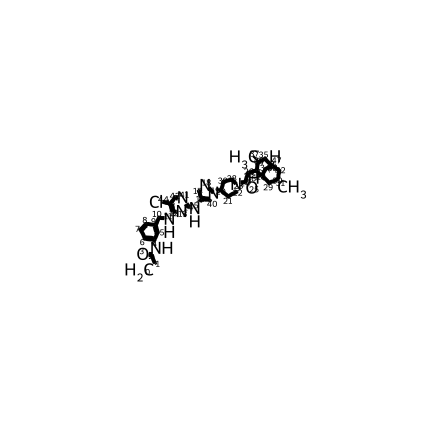 C=CC(=O)Nc1cccc(CNc2nc(Nc3cnn(C4CCN(C(=O)CC5[C@@H]6CC(C)C[C@@H](C6)C[C@@H]5C)CC4)c3)ncc2Cl)c1